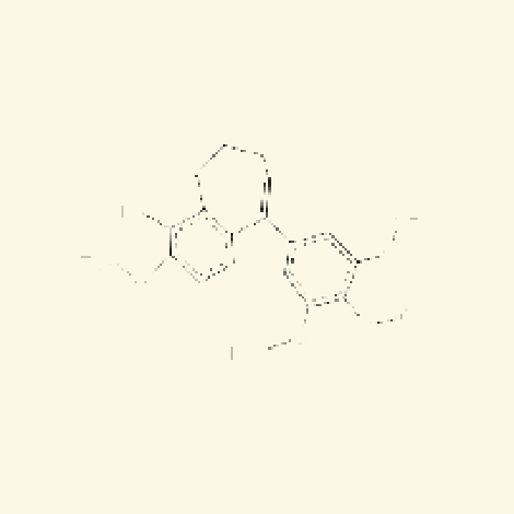 COc1ccc2c(c1N)CCCC=C2c1cc(OC)c(OC)c(OC)c1